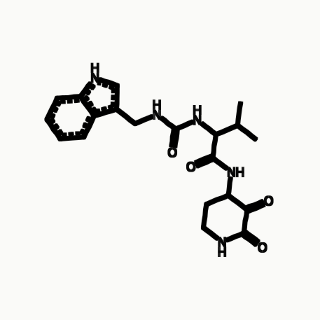 CC(C)C(NC(=O)NCc1c[nH]c2ccccc12)C(=O)NC1CCNC(=O)C1=O